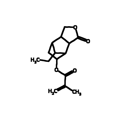 C=C(C)C(=O)OC1CC2C3COC(=O)C3C1C2CC